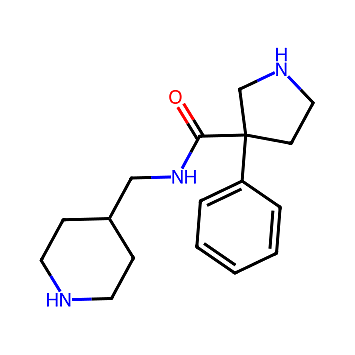 O=C(NCC1CCNCC1)C1(c2ccccc2)CCNC1